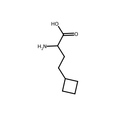 NC(CCC1CCC1)C(=O)O